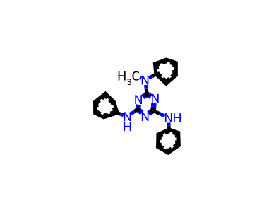 CN(c1ccccc1)c1nc(Nc2ccccc2)nc(Nc2ccccc2)n1